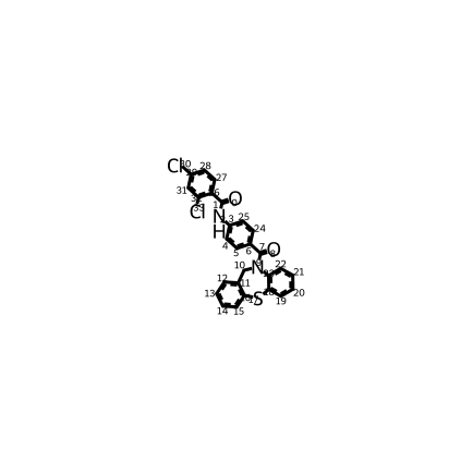 O=C(Nc1ccc(C(=O)N2Cc3ccccc3Sc3ccccc32)cc1)c1ccc(Cl)cc1Cl